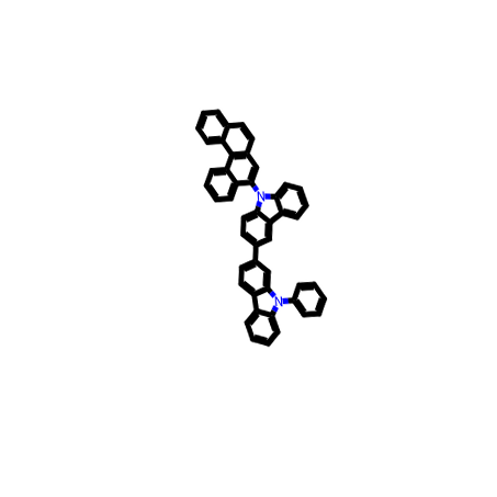 c1ccc(-n2c3ccccc3c3ccc(-c4ccc5c(c4)c4ccccc4n5-c4cc5ccc6ccccc6c5c5ccccc45)cc32)cc1